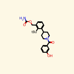 CC(C)(C)c1c(COC(N)=O)cccc1C1CCN(C(=O)c2cccc(O)c2)CC1